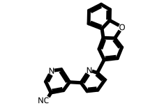 N#Cc1cncc(-c2cccc(-c3ccc4oc5ccccc5c4c3)n2)c1